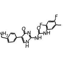 Cc1cc(NC(=O)Nc2nc(=O)c(-c3ccc(CN)cc3)c[nH]2)c(F)cc1F